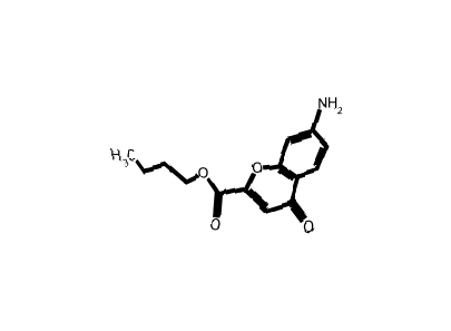 CCCCOC(=O)c1cc(=O)c2ccc(N)cc2o1